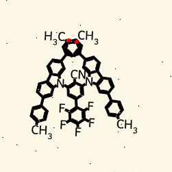 Cc1ccc(-c2ccc3c4ccc(-c5ccc(C)cc5)cc4n(-c4cc(-c5c(F)c(F)c(F)c(F)c5F)cc(-n5c6cc(-c7ccc(C)cc7)ccc6c6ccc(-c7ccc(C)cc7)cc65)c4C#N)c3c2)cc1